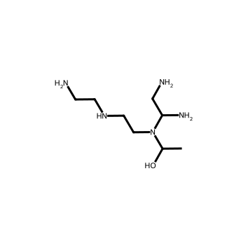 CC(O)N(CCNCCN)C(N)CN